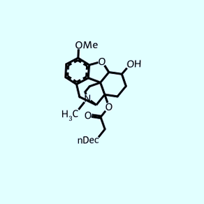 CCCCCCCCCCCC(=O)OC12CCC(O)C3Oc4c(OC)ccc5c4C31CCN(C)C2C5